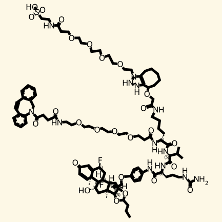 CCCC1O[C@@H]2C[C@H]3[C@@H]4C[C@H](F)C5=CC(=O)C=C[C@]5(C)[C@@]4(F)[C@@H](O)C[C@]3(C)[C@]2(C(=O)COc2ccc(NC(=O)[C@H](CCCNC(N)=O)NC(=O)[C@@H](NC(=O)[C@@H](CCCCNC(=O)COC3CCCCCC4=C3NNN4CCOCCOCCOCCOCCC(=O)NCCS(=O)(=O)O)NC(=O)CCOCCOCCOCCOCCNC(=O)CCC(=O)N3Cc4ccccc4C#Cc4ccccc43)C(C)C)cc2)O1